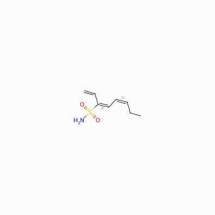 C=C/C(=C\C=C/CC)S(N)(=O)=O